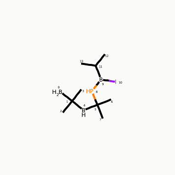 BC(C)(C)BC(C)(C)PB(I)C(C)C